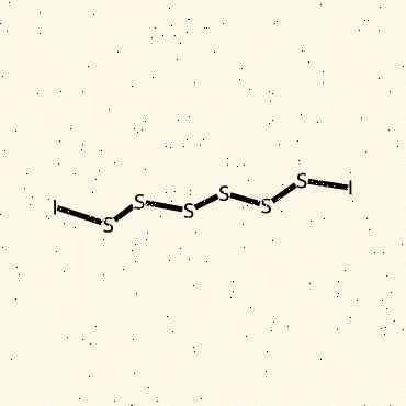 ISSSSSSI